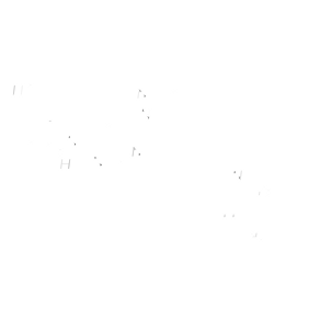 Cc1nc(N2C[C@@]3(CO)C[C@@H]2CO3)cc(-n2ncc3cc(C)c(C4CCN(C(=O)OC(C)(C)C)CC4)cc32)n1